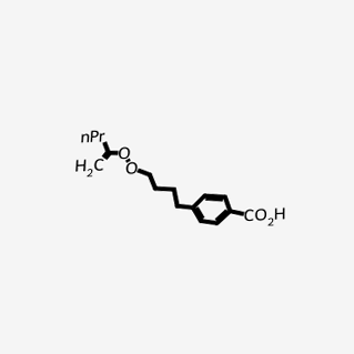 C=C(CCC)OOCCCCc1ccc(C(=O)O)cc1